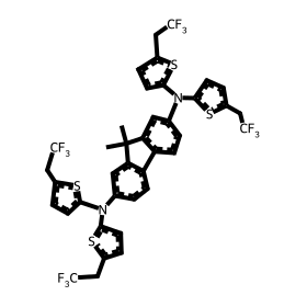 CC1(C)c2cc(N(c3ccc(CC(F)(F)F)s3)c3ccc(CC(F)(F)F)s3)ccc2-c2ccc(N(c3ccc(CC(F)(F)F)s3)c3ccc(CC(F)(F)F)s3)cc21